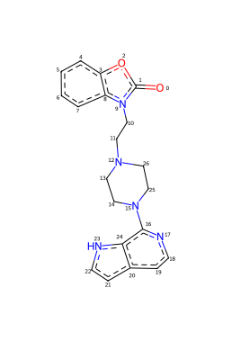 O=c1oc2ccccc2n1CCN1CCN(c2nccc3cc[nH]c23)CC1